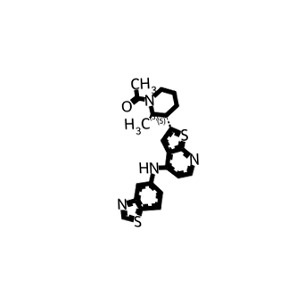 CC(=O)N1CCC[C@H](c2cc3c(Nc4ccc5scnc5c4)ccnc3s2)[C@@H]1C